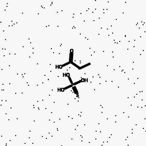 CCC(=O)O.OP(O)(O)=S